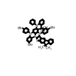 CC(C)(C)c1ccc(N2c3ccc(C(C)(C)C)cc3B3c4sc5cc6c(cc5c4N(c4ccc(C(C)(C)C)cc4)c4c3c2cc2c4C(C)(C)c3ccccc3N2c2ccccc2)-c2ccccc2C6(C)C)cc1